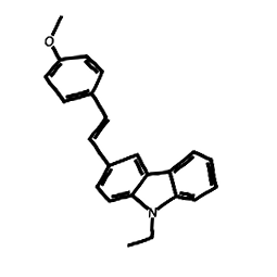 CCn1c2ccccc2c2cc(C=Cc3ccc(OC)cc3)ccc21